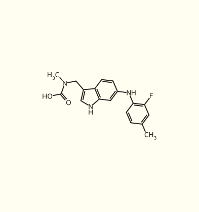 Cc1ccc(Nc2ccc3c(CN(C)C(=O)O)c[nH]c3c2)c(F)c1